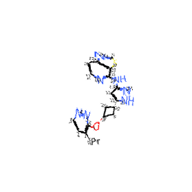 CC(C)c1ccnnc1O[C@H]1C[C@@H](c2cc(Nc3nccc4ncsc34)n[nH]2)C1